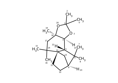 CC1(C)O[C@H]2[C@@H]3C(C)(C)[C@H]4CC[C@@]3(C4)C(C)(C)C[C@@]2(C)O1